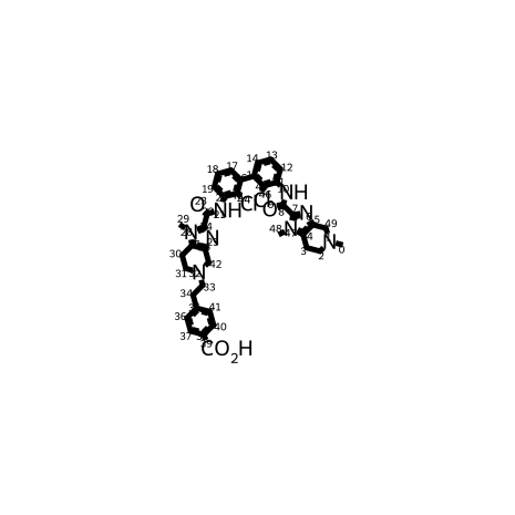 CN1CCc2c(nc(C(=O)Nc3cccc(-c4cccc(NC(=O)c5nc6c(n5C)CCN(CCc5ccc(C(=O)O)cc5)C6)c4Cl)c3Cl)n2C)C1